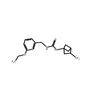 O=C(NCc1cccc(OCC(F)(F)F)c1)NC12CC(C1)C(C(F)(F)F)C2